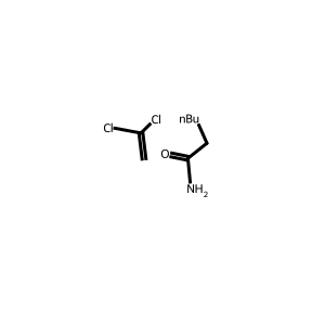 C=C(Cl)Cl.CCCCCC(N)=O